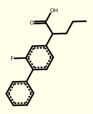 CCCC(C(=O)O)c1ccc(-c2ccccc2)c(F)c1